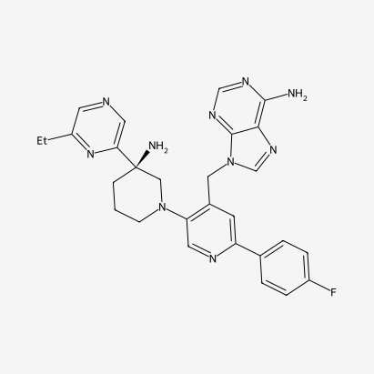 CCc1cncc([C@@]2(N)CCCN(c3cnc(-c4ccc(F)cc4)cc3Cn3cnc4c(N)ncnc43)C2)n1